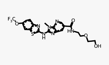 Cn1c(Nc2nc3ccc(OC(F)(F)F)cc3s2)nc2cc(C(=O)NCCOCCO)cnc21